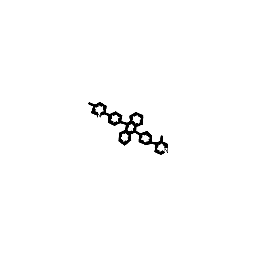 Cc1ccc(-c2ccc(-c3c4ccccc4c(-c4ccc(-c5ccncc5C)cc4)c4ccccc34)cc2)nc1